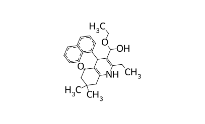 CCOC(O)C1=C(CC)NC2=C(C(=O)CC(C)(C)C2)C1c1cccc2ccccc12